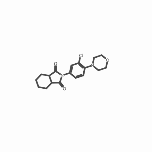 O=C1C2CCCCC2C(=O)N1c1ccc(N2CCOCC2)c(Cl)c1